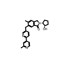 Cc1cc(-c2ccc(Cc3cc4c(cc3C)CN([C@@H]3CCC[C@H]3O)C4=O)cn2)ccn1